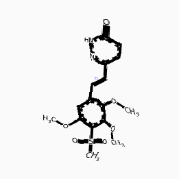 COc1cc(/C=C/c2ccc(=O)[nH]n2)c(OC)c(OC)c1S(C)(=O)=O